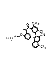 COc1cc(Cl)c(-c2nc3cccc(C(F)(F)F)c3cc2C#N)cc1C(=O)N(C)c1ccccc1OCCC(=O)O